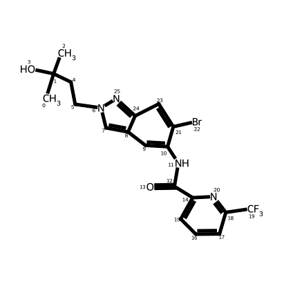 CC(C)(O)CCn1cc2cc(NC(=O)c3cccc(C(F)(F)F)n3)c(Br)cc2n1